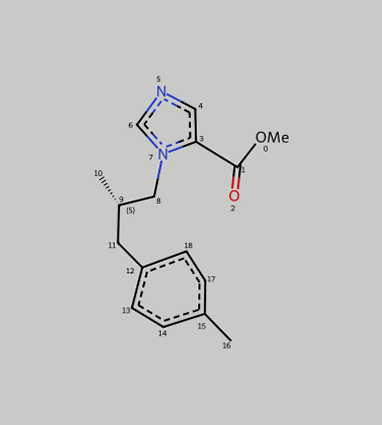 COC(=O)c1cncn1C[C@@H](C)Cc1ccc(C)cc1